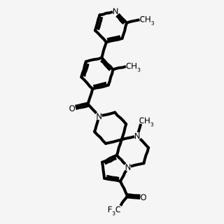 Cc1cc(-c2ccc(C(=O)N3CCC4(CC3)c3ccc(C(=O)C(F)(F)F)n3CCN4C)cc2C)ccn1